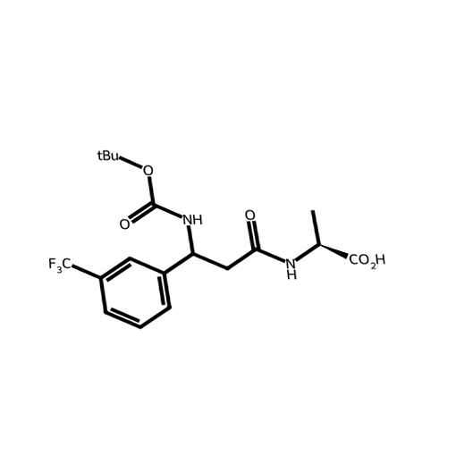 C[C@H](NC(=O)CC(NC(=O)OC(C)(C)C)c1cccc(C(F)(F)F)c1)C(=O)O